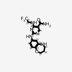 NC(=O)c1cnc(Nc2ccc3c(c2)NCCCO3)nc1NCC(F)(F)F